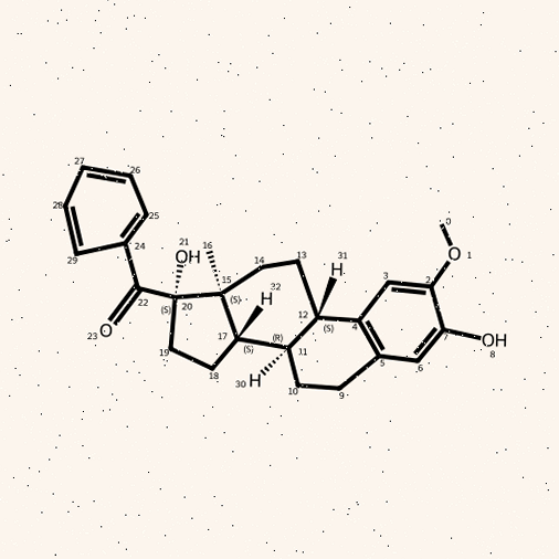 COc1cc2c(cc1O)CC[C@@H]1[C@@H]2CC[C@@]2(C)[C@H]1CC[C@@]2(O)C(=O)c1ccccc1